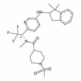 CN(C(=O)C1CCN(S(C)(=O)=O)CC1)[C@@H](c1ccc(NC2Cc3ccccc3C2(C)C)cn1)C(F)(F)F